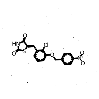 O=C1NC(=O)/C(=C/c2cccc(OCc3ccc([N+](=O)[O-])cc3)c2Cl)S1